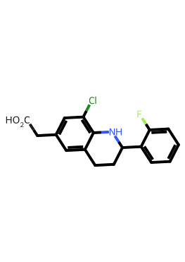 O=C(O)Cc1cc(Cl)c2c(c1)CCC(c1ccccc1F)N2